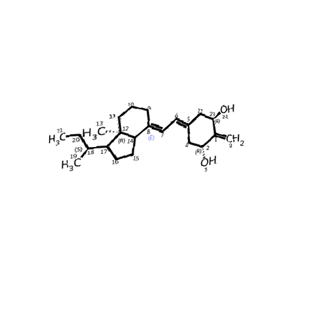 C=C1[C@H](O)CC(=C/C=C2\CCC[C@@]3(C)C2CCC3[C@@H](C)CC)C[C@H]1O